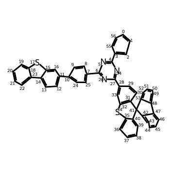 c1ccc(-c2nc(-c3ccc(-c4ccc5c(c4)sc4ccccc45)cc3)nc(-c3ccc4c(c3)Sc3ccccc3C43c4ccccc4-c4ccccc43)n2)cc1